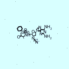 CC(=O)[C@H](C)NP(=O)(OC[C@H]1O[C@@H](n2cnc3c(N)nc(N)nc32)CC1N=[N+]=[N-])Oc1ccccc1